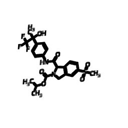 CC(C)OC(=O)N1Cc2cc(S(C)(=O)=O)ccc2C1C(=O)Nc1ccc(C(C)(O)C(F)(F)F)cc1